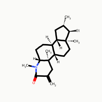 C=C1C[C@]2(C)[C@H]3CC[C@]4(C)[C@H](CC)[C@@H](C)C[C@H]4[C@@H]3CC[C@H]2N(C)C1=O